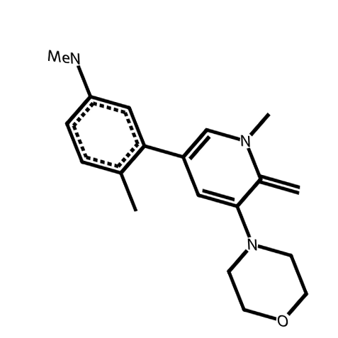 C=C1C(N2CCOCC2)=CC(c2cc(NC)ccc2C)=CN1C